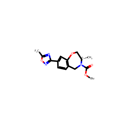 C[C@H]1COc2cc(-c3noc(C(F)(F)F)n3)ccc2CN1C(=O)OC(C)(C)C